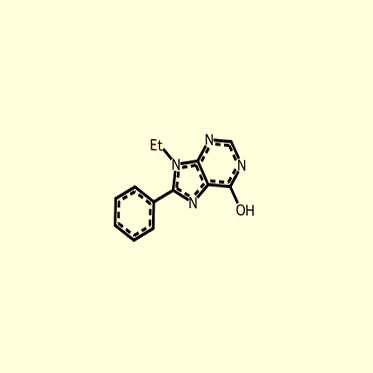 CCn1c(-c2ccccc2)nc2c(O)ncnc21